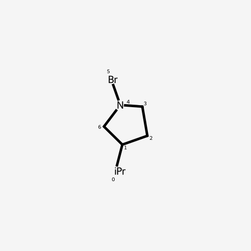 CC(C)C1CCN(Br)C1